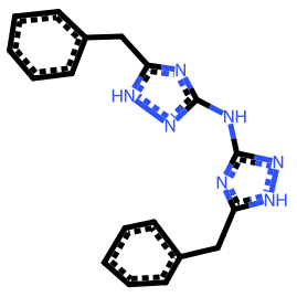 c1ccc(Cc2nc(Nc3n[nH]c(Cc4ccccc4)n3)n[nH]2)cc1